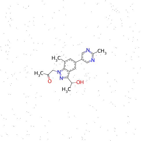 CC(=O)Cn1nc(C(C)O)c2cc(-c3cnc(C)nc3)cc(C)c21